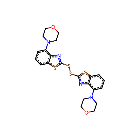 c1cc(N2CCOCC2)c2nc(SSc3nc4c(N5CCOCC5)cccc4s3)sc2c1